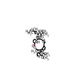 CCn1c(-c2cccnc2[C@H](C)OC)c2c3cc(ccc31)-c1csc(n1)C[C@H](NC(=O)[C@H](C(C)C)N(C)C(=O)N1CC(C(C)(C)OC)C1)C(=O)N1CCCC(C=O)(COCC(C)(C)C2)N1